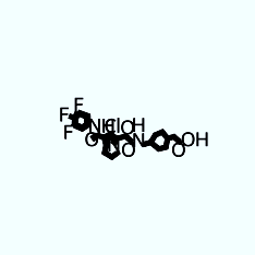 O=C(O)CC1CCC(CNC(=O)C(=O)c2c(Cl)c(C(=O)Nc3cc(F)c(F)c(F)c3)c3n2CCC3)CC1